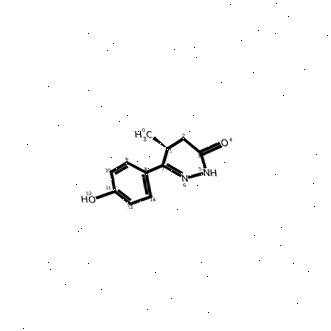 C[C@H]1CC(=O)NN=C1c1ccc(O)cc1